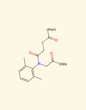 CCCCCC(=O)SCC(=O)N(CC(=O)OC)c1c(C)cccc1C